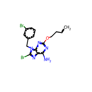 C=CCCOc1nc(N)c2nc(Br)n(Cc3cccc(Br)c3)c2n1